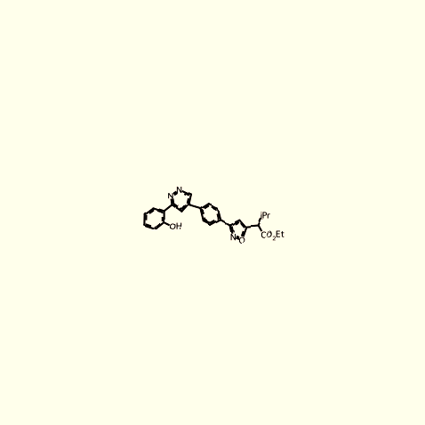 CCOC(=O)C(c1cc(-c2ccc(-c3cnnc(-c4ccccc4O)c3)cc2)no1)C(C)C